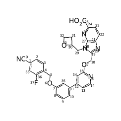 N#Cc1ccc(COc2cccc(-c3ccnc(OCc4nc5ccc(C(=O)O)nc5n4CC4CCO4)c3)c2)c(F)c1